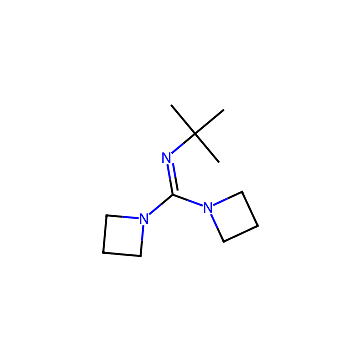 CC(C)(C)N=C(N1CCC1)N1CCC1